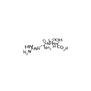 C[C@H](NC(=O)[C@@H](N)CCCNC(=N)N)C(=O)N[C@@H](CO)C(=O)O